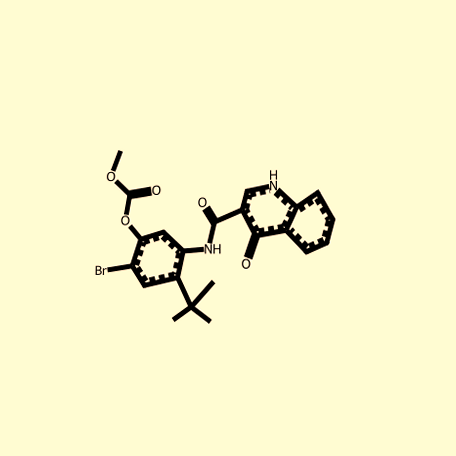 COC(=O)Oc1cc(NC(=O)c2c[nH]c3ccccc3c2=O)c(C(C)(C)C)cc1Br